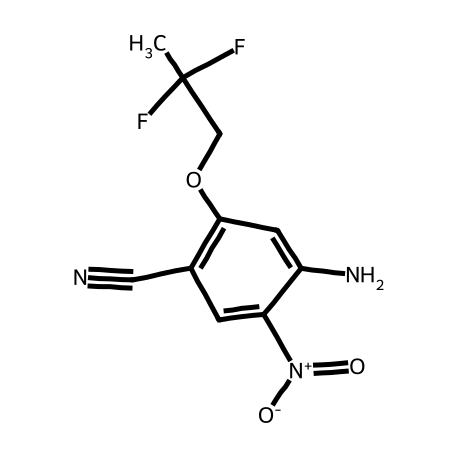 CC(F)(F)COc1cc(N)c([N+](=O)[O-])cc1C#N